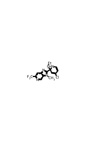 CCSC1(c2nc3cc(C(F)(F)F)ncc3n2C)C=C(Cl)C=CN1